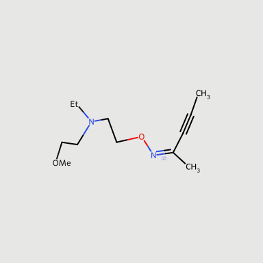 CC#C/C(C)=N\OCCN(CC)CCOC